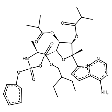 CCC(CC)COC(=O)[C@H](C)NP(=O)(OC[C@H]1O[C@@](C)(c2ccc3c(N)ncnn23)[C@H](OC(=O)C(C)C)[C@@H]1OC(=O)C(C)C)Oc1ccccc1